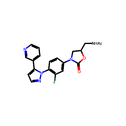 CC(=O)NCC1CN(c2ccc(-n3nccc3-c3cccnc3)c(F)c2)C(=O)O1